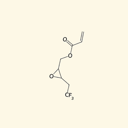 C=CC(=O)OCC1OC1CC(F)(F)F